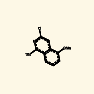 COc1cccc2c(C(C)(C)C)nc(Cl)cc12